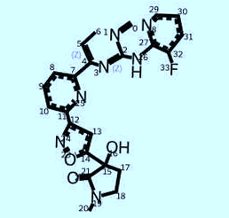 C=N/C(=N\C(=C/C)c1cccc(-c2cc(C3(O)CCN(C)C3=O)on2)n1)Nc1ncccc1F